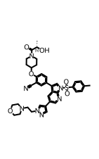 Cc1ccc(S(=O)(=O)n2cc(-c3ccc(OC4CCN(C(=O)[C@H](C)O)CC4)c(C#N)c3)c3cc(-c4cnn(CCN5CCOCC5)c4)cnc32)cc1